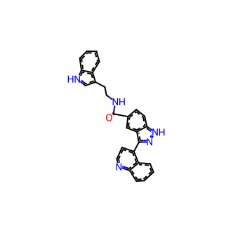 O=C(NCCc1c[nH]c2ccccc12)c1ccc2[nH]nc(-c3ccnc4ccccc34)c2c1